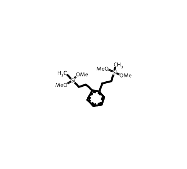 CO[Si](C)(CCc1ccccc1CC[Si](C)(OC)OC)OC